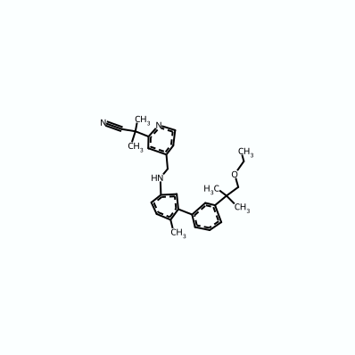 CCOCC(C)(C)c1cccc(-c2cc(NCc3ccnc(C(C)(C)C#N)c3)ccc2C)c1